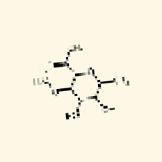 C=C(C)[C@@H]1OC(C)C(O)C(O)C1OC